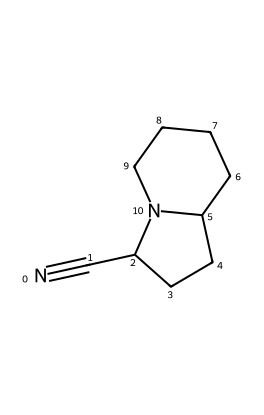 N#CC1CCC2CCCCN12